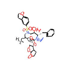 CC(C)CN(C[C@@H](O)[C@H](Cc1ccccc1)NC(=O)O[C@H]1COC2OCCC21)S(=O)(=O)c1ccc2occc2c1